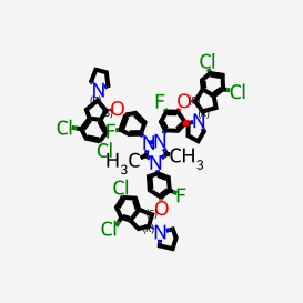 CC1N(c2ccc(O[C@H]3c4cc(Cl)cc(Cl)c4C[C@H]3N3CCCC3)c(F)c2)C(C)N(c2ccc(O[C@H]3c4cc(Cl)cc(Cl)c4C[C@H]3N3CCCC3)c(F)c2)N1c1ccc(O[C@H]2c3cc(Cl)cc(Cl)c3C[C@H]2N2CCCC2)c(F)c1